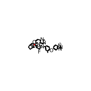 Cc1cc(Nc2ncnc3ccc(N4CC5CCC(C4)N5C(=O)/C=C/C(F)F)nc23)ccc1Oc1ccc2c(c1)nnn2C